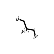 CCCCCBr.N